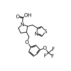 O=C(O)N1CCC(COc2cccc(OC(F)(F)F)c2)C1Cc1cscn1